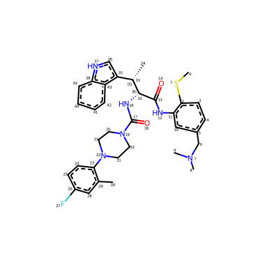 CSc1ccc(CN(C)C)cc1NC(=O)[C@H](NC(=O)N1CCN(c2ccc(F)cc2C)CC1)[C@@H](C)c1c[nH]c2ccccc12